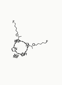 CC(OCCCCCF)C1=Cc2cc3[nH]c(cc4nc(cc5ccc(cc1n2)[nH]5)C=C4)cc3C(C)OCCCCCF.[Na].[Na]